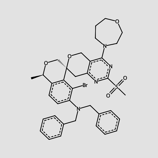 C[C@H]1OC[C@]2(Cc3nc(S(C)(=O)=O)nc(N4CCCOCC4)c3CO2)c2c1ccc(N(Cc1ccccc1)Cc1ccccc1)c2Br